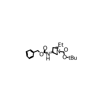 CC[C@@H]1C[C@@H](NC(=O)OCc2ccccc2)CN1C(=O)OC(C)(C)C